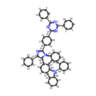 c1ccc(-c2nc(-c3ccccc3)nc(-c3ccc(-c4nc(-c5ccccc5)c5c6ccc7c8ccccc8n(-c8ccccc8)c7c6c6ccccc6n45)cc3)n2)cc1